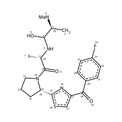 CN[C@@H](C)C(O)N[C@@H](I)C(=O)N1CCC[C@H]1c1nc(C(=O)c2ccc(F)cc2)cs1